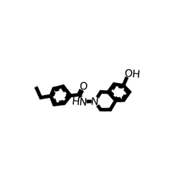 CCc1ccc(C(=O)NN2CCc3ccc(O)cc3C2)cc1